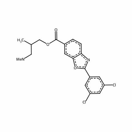 CNCC(C)COC(=O)c1ccc2nc(-c3cc(Cl)cc(Cl)c3)oc2c1